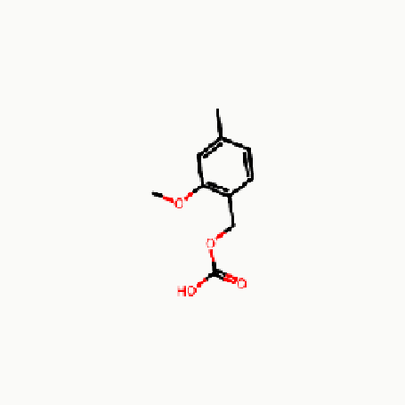 COc1cc(C)ccc1COC(=O)O